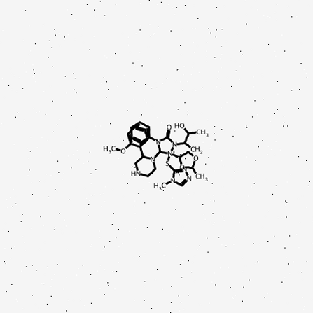 COc1ccccc1C1CNCCN1C1N(c2ccccc2)C(=O)N(C(C)C(C)O)[N+]1(Sc1nncn1C)C1COC(C)O1